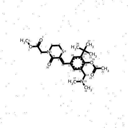 COC(=O)CN1CCSC(=Cc2cc(CN(C)C)c(OC(C)=O)c(C(C)(C)C)c2)C1=O